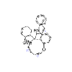 C=C/C=C\C(C)C1(C2=C(OC)C=CCC2)C(=C)/C=C\C=C/Oc2cccc(Nc3ccccc3)c21